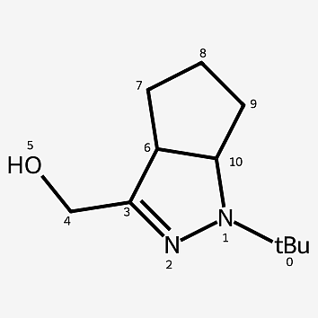 CC(C)(C)N1N=C(CO)C2CCCC21